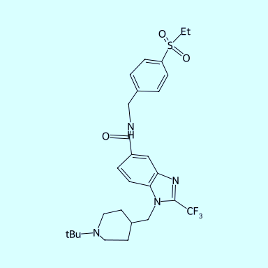 CCS(=O)(=O)c1ccc(CNC(=O)c2ccc3c(c2)nc(C(F)(F)F)n3CC2CCN(C(C)(C)C)CC2)cc1